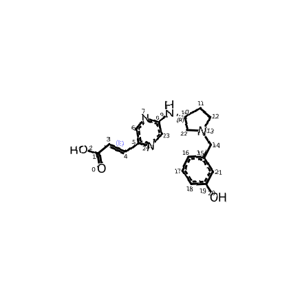 O=C(O)/C=C/c1cnc(N[C@@H]2CCN(Cc3cccc(O)c3)C2)cn1